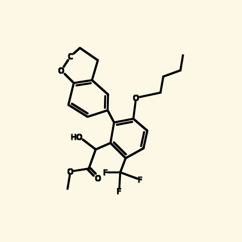 CCCCOc1ccc(C(F)(F)F)c(C(O)C(=O)OC)c1-c1ccc2c(c1)CCCO2